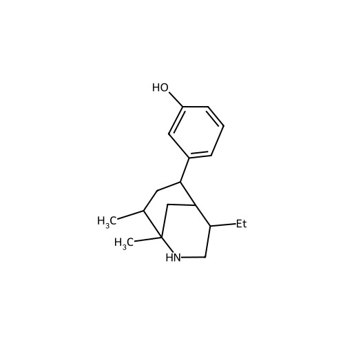 CCC1CNC2(C)CC1C(c1cccc(O)c1)CC2C